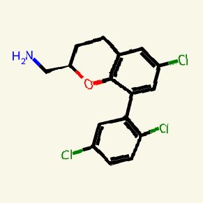 NC[C@H]1CCc2cc(Cl)cc(-c3cc(Cl)ccc3Cl)c2O1